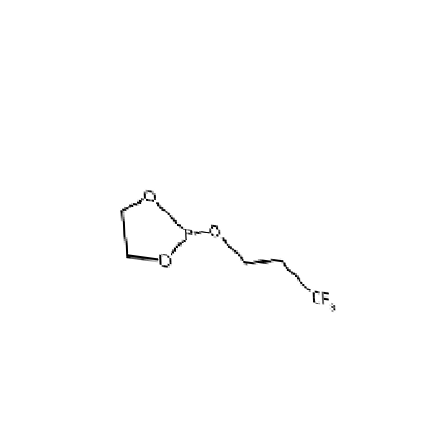 FC(F)(F)CCOP1OCCO1